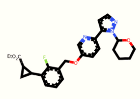 CCOC(=O)C1CC1c1cccc(COc2ccc(-c3ccnn3C3CCCCO3)nc2)c1F